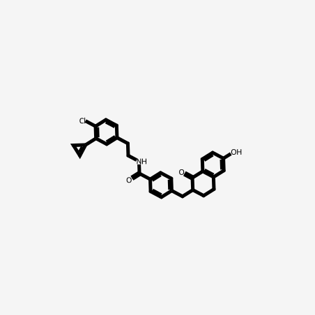 O=C(NCCc1ccc(Cl)c(C2=CC2)c1)c1ccc(CC2CCc3cc(O)ccc3C2=O)cc1